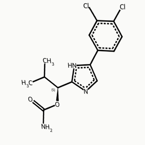 CC(C)[C@H](OC(N)=O)c1ncc(-c2ccc(Cl)c(Cl)c2)[nH]1